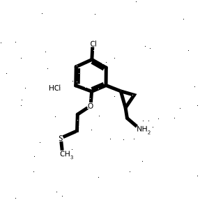 CSCCOc1ccc(Cl)cc1C1CC1CN.Cl